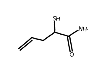 C=CCC(S)C([NH])=O